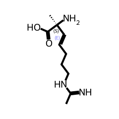 CC(=N)NCCC/C=C/[C@](C)(N)C(=O)O